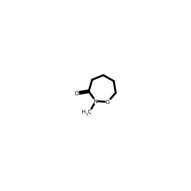 CN1OCCCCC1=O